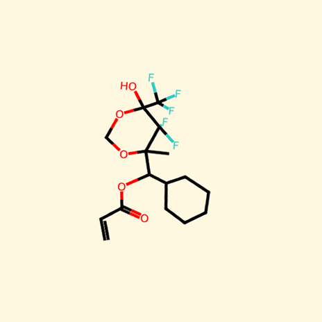 C=CC(=O)OC(C1CCCCC1)C1(C)OCOC(O)(C(F)(F)F)C1(F)F